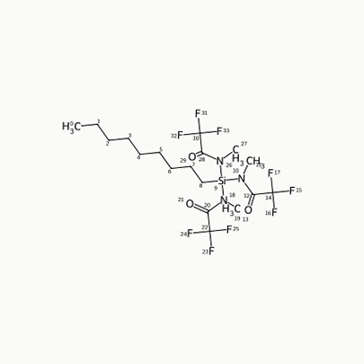 CCCCCCCCC[Si](N(C)C(=O)C(F)(F)F)(N(C)C(=O)C(F)(F)F)N(C)C(=O)C(F)(F)F